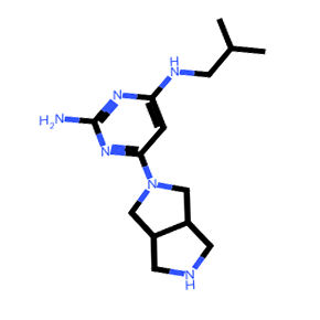 CC(C)CNc1cc(N2CC3CNCC3C2)nc(N)n1